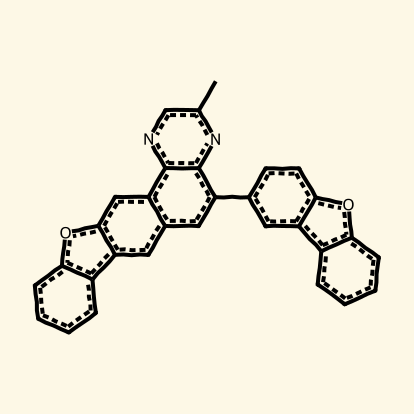 Cc1cnc2c(n1)c(-c1ccc3oc4ccccc4c3c1)cc1cc3c(cc12)oc1ccccc13